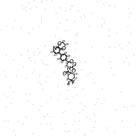 O=C(CN1C(=O)OC2(CCC(F)(F)CC2)C1=O)c1ccc(-c2ccnc3c2OCCO3)cc1